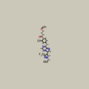 CCCOCCCC(=O)c1ccc(Cc2nccn3c(-c4cn(CC(C)(C)C)nc4C(F)(F)F)cnc23)cc1CC